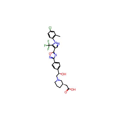 Cc1cc(Cl)ccc1-n1ncc(-c2nc(-c3ccc([C@@H](O)CN4CCC[C@H](CC(=O)O)C4)cc3)no2)c1C(F)(F)F